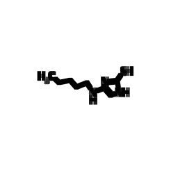 CCCCCNc1c[nH]c(S)n1